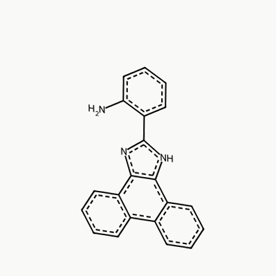 Nc1ccccc1-c1nc2c3ccccc3c3ccccc3c2[nH]1